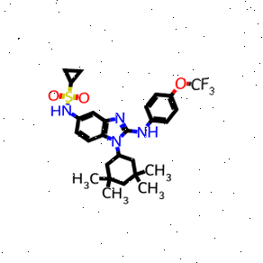 CC1(C)CC(n2c(Nc3ccc(OC(F)(F)F)cc3)nc3cc(NS(=O)(=O)C4CC4)ccc32)CC(C)(C)C1